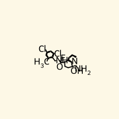 Cc1cc(Cl)cc(Cl)c1CNC(=O)C1(F)CCC(O)(CN)c2ncccc21